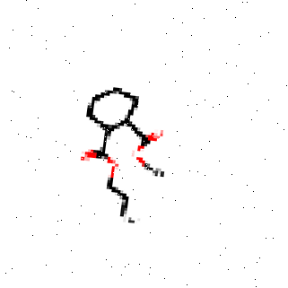 CCCCCCCCCCCCOC(=O)C1CCCCC1C(=O)OCCC